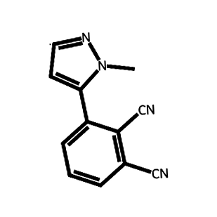 Cn1n[c]cc1-c1cccc(C#N)c1C#N